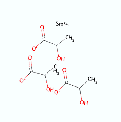 CC(O)C(=O)[O-].CC(O)C(=O)[O-].CC(O)C(=O)[O-].[Sm+3]